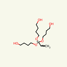 C=C[Si](OCCCCO)(OCCCCO)OCCCCO